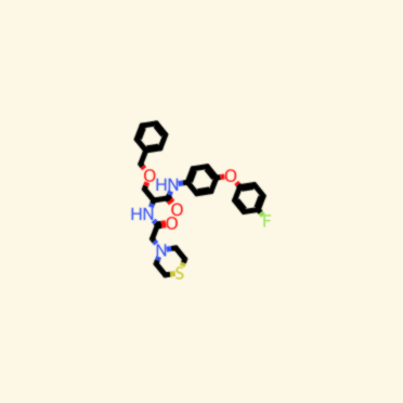 O=C(CN1CCSCC1)NC(COCc1ccccc1)C(=O)Nc1ccc(Oc2ccc(F)cc2)cc1